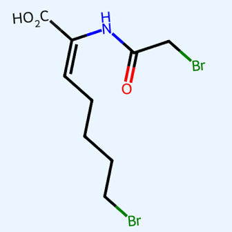 O=C(CBr)NC(=CCCCCBr)C(=O)O